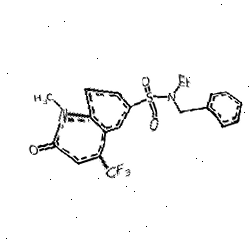 CCN(Cc1ccccc1)S(=O)(=O)c1ccc2c(c1)c(C(F)(F)F)cc(=O)n2C